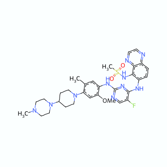 COc1cc(N2CCC(N3CCN(C)CC3)CC2)c(C)cc1Nc1ncc(F)c(Nc2ccc3nccnc3c2NS(C)(=O)=O)n1